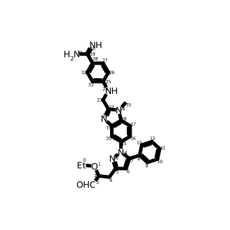 CCOC(C=O)Cc1cc(-c2ccccc2)n(-c2ccc3c(c2)nc(CNc2ccc(C(=N)N)cc2)n3C)n1